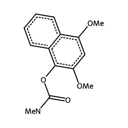 CNC(=O)Oc1c(OC)cc(OC)c2ccccc12